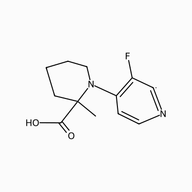 CC1(C(=O)O)CCCCN1c1ccn[c]c1F